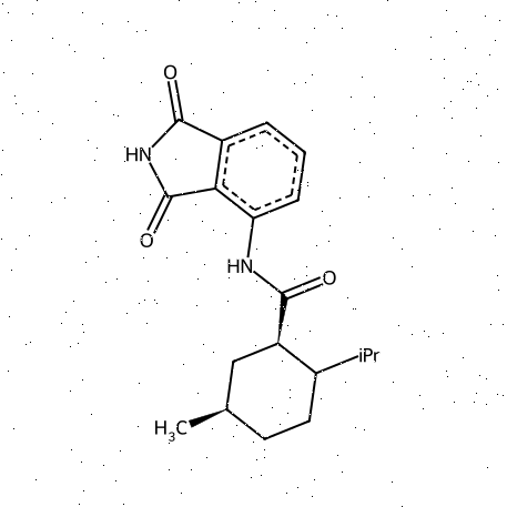 CC(C)C1CC[C@@H](C)C[C@H]1C(=O)Nc1cccc2c1C(=O)NC2=O